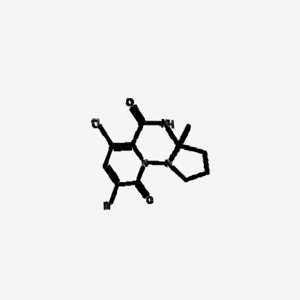 CC12CCCN1n1c(c(Cl)cc(Br)c1=O)C(=O)N2